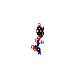 CN(C)c1ccc2c(CCNC(=O)CO[C@H]3CC[C@H]4[C@@H]5CC[C@H]6CC(=O)CC[C@]6(C)[C@H]5CC[C@]34C)cc(=O)oc2c1